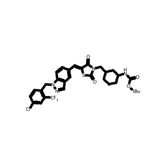 CC(C)(C)OC(=O)NC1CCCC(CN2C(=O)SC(=Cc3ccc4c(cnn4Cc4ccc(Cl)cc4C(F)(F)F)c3)C2=O)C1